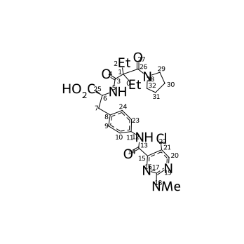 CCC(CC)(C(=O)N[C@@H](Cc1ccc(NC(=O)c2nc(NC)ncc2Cl)cc1)C(=O)O)C(=O)N1CCCC1